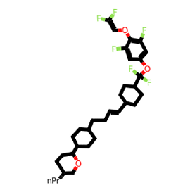 CCCC1CCC(C2CCC(CC/C=C/C3CCC(C(F)(F)Oc4cc(F)c(OC=C(F)F)c(F)c4)CC3)CC2)OC1